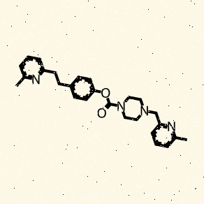 Cc1cccc(CCc2ccc(OC(=O)N3CCN(Cc4cccc(C)n4)CC3)cc2)n1